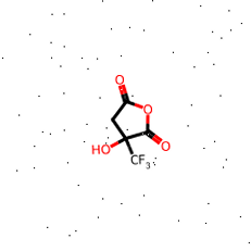 O=C1CC(O)(C(F)(F)F)C(=O)O1